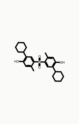 Cc1cc(O)c(C2CCCCC2)cc1S(=O)(=O)c1cc(C2CCCCC2)c(O)cc1C